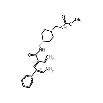 C=C/C(=C\C(=C/N)c1ccccc1)C(=O)NC[C@H]1CC[C@H](CNC(=O)OC(C)(C)C)CC1